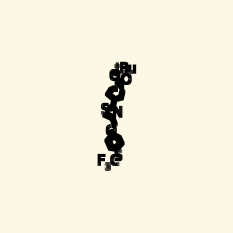 CC(C)(C)OC(=O)N1CCC(c2nc(COc3ccc(SC(F)(F)F)cc3)cs2)CC1